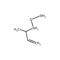 C=CC(C)[SiH2]O[SiH3]